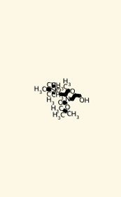 CC1OC(CO)CN(C(=O)OC(C)(C)C)C1CO[Si](C)(C)C(C)(C)C